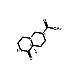 COC(=O)[C@H]1CC[C@H]2C(=O)NCCN2C1